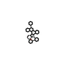 C1=Cc2c(n(-c3ccccc3-c3ccccc3)c3c4ccccc4c4cc(-c5ccccc5)c5ccccc5c4c23)CC1